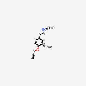 C#CCOc1ccc(CCNC=O)cc1OC